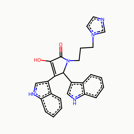 O=C1C(O)=C(c2c[nH]c3ccccc23)C(c2c[nH]c3ccccc23)N1CCCn1ccnc1